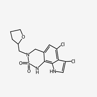 O=S1(=O)Nc2c(cc(Cl)c3c(Cl)c[nH]c23)CN1CC1CCCO1